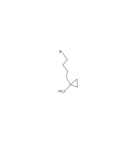 O=C(O)C1(CCCCBr)CC1